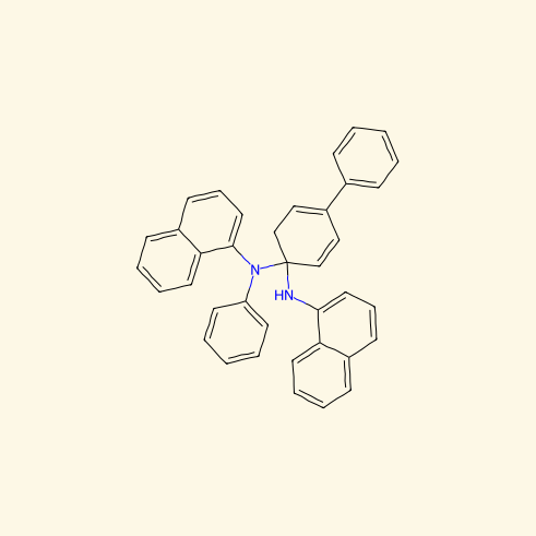 C1=CC(Nc2cccc3ccccc23)(N(c2ccccc2)c2cccc3ccccc23)CC=C1c1ccccc1